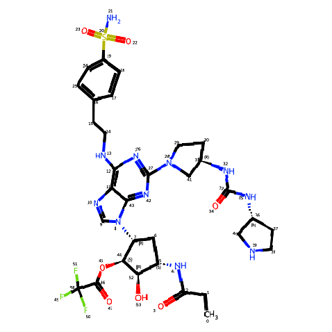 CCC(=O)N[C@H]1C[C@@H](n2cnc3c(NCCc4ccc(S(N)(=O)=O)cc4)nc(N4CC[C@@H](NC(=O)N[C@@H]5CCNC5)C4)nc32)[C@H](OC(=O)C(F)(F)F)[C@@H]1O